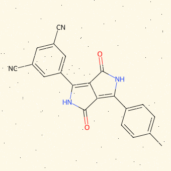 Cc1ccc(C2=C3C(=O)NC(c4cc(C#N)cc(C#N)c4)=C3C(=O)N2)cc1